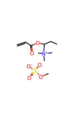 C=CC(=O)OC(CC)[N+](C)(C)C.COS(=O)(=O)[O-]